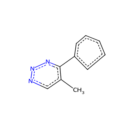 Cc1cnnnc1-c1ccccc1